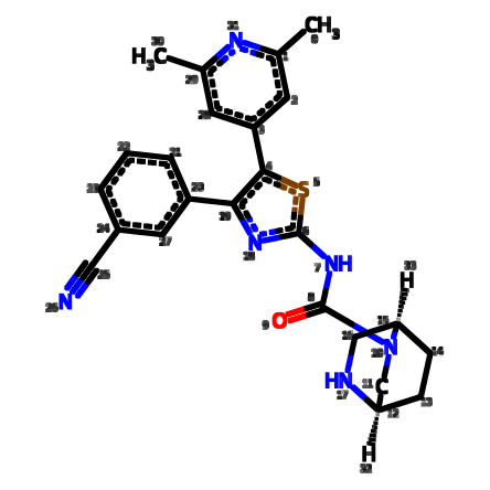 Cc1cc(-c2sc(NC(=O)N3C[C@H]4CC[C@@H]3CN4)nc2-c2cccc(C#N)c2)cc(C)n1